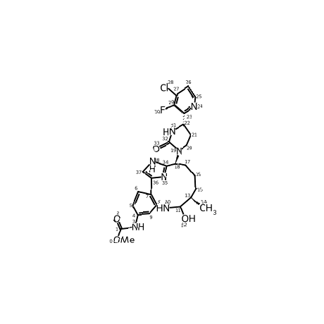 COC(=O)Nc1ccc2c(c1)NC(O)[C@H](C)CCC[C@H](N1CC[C@@H](c3nccc(Cl)c3F)NC1=O)c1nc-2c[nH]1